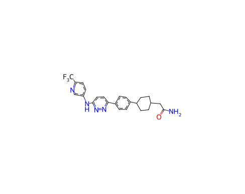 NC(=O)CC1CCC(c2ccc(-c3ccc(Nc4ccc(C(F)(F)F)nc4)nn3)cc2)CC1